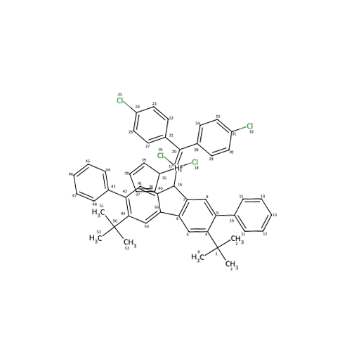 CC(C)(C)c1cc2c(cc1-c1ccccc1)[CH]([Hf]([Cl])([Cl])(=[C](c1ccc(Cl)cc1)c1ccc(Cl)cc1)[CH]1C=CC=C1)c1cc(-c3ccccc3)c(C(C)(C)C)cc1-2